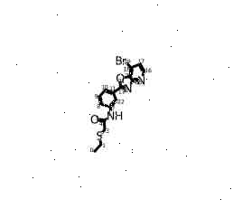 CCSCC(=O)Nc1cccc(-c2nc3nccc(Br)c3o2)c1